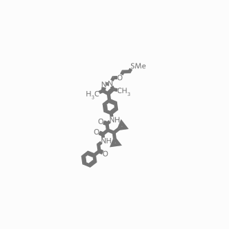 CSCCOCn1nc(C)c(-c2ccc(NC(=O)C(C(=O)NCC(=O)c3ccccc3)C(C3CC3)C3CC3)cc2)c1C